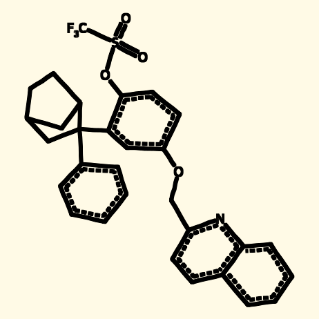 O=S(=O)(Oc1ccc(OCc2ccc3ccccc3n2)cc1C1(c2ccccc2)CC2CCC1C2)C(F)(F)F